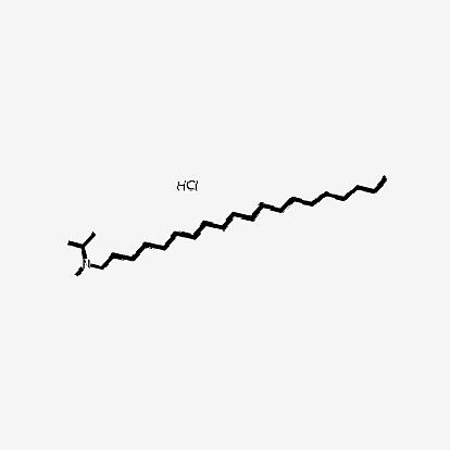 CCCCCCCCCCCCCCCCCCCCN(C)C(C)C.Cl